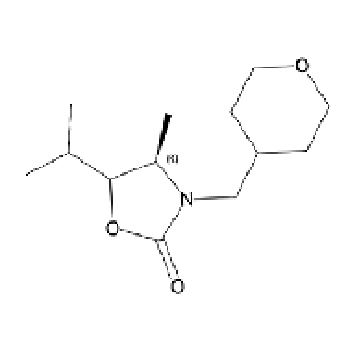 CC(C)C1OC(=O)N(CC2CCOCC2)[C@@H]1C